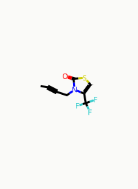 CC#CCn1c(C(F)(F)F)[c]sc1=O